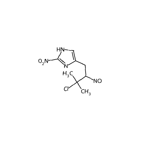 CC(C)(Cl)C(Cc1c[nH]c([N+](=O)[O-])n1)N=O